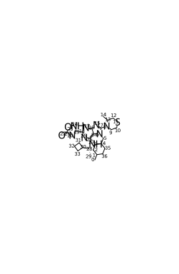 CC1CCC(Cn2c(N3CCSCC3C)nc3nc(-c4nc(=O)o[nH]4)nc(N[C@H](C)C4CCC4)c32)CC1